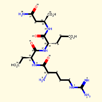 N=C(N)NCCC[C@H](N)C(=O)N[C@@H](CC(=O)O)C(=O)N[C@@H](CCC(=O)O)C(=O)N[C@@H](CC(N)=O)C(=O)O